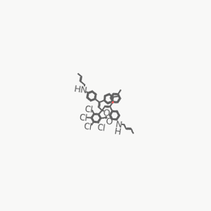 CC=CCNc1ccc(C(=CC2(C=C(c3ccc(C)cc3)c3ccc(NCC=CC)cc3)OC(=O)c3c(Cl)c(Cl)c(Cl)c(Cl)c32)c2ccc(C)cc2)cc1